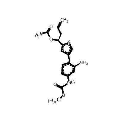 C=CC[C@H](OC(N)=O)c1cc(-c2ccc(NC(=O)OC)cc2N)cs1